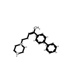 CC(=CCCN1CCOCC1)c1ccc(-c2ccccc2)cc1